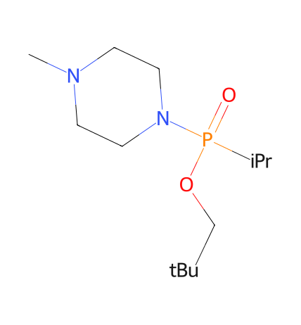 CC(C)P(=O)(OCC(C)(C)C)N1CCN(C)CC1